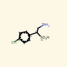 NCC(c1ccc(Cl)cc1)S(=O)(=O)O